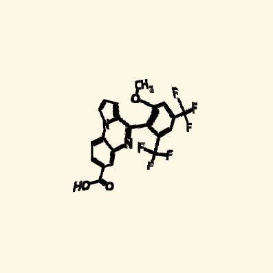 COc1cc(C(F)(F)F)cc(C(F)(F)F)c1-c1nc2cc(C(=O)O)ccc2n2cccc12